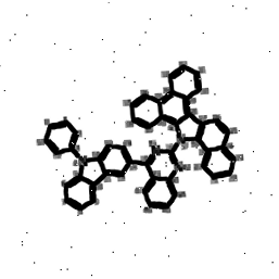 c1ccc(-n2c3ccccc3c3cc(-c4nc(-n5c6c7ccccc7ccc6c6c7ccccc7c7ccccc7c65)nc5ccccc45)ccc32)cc1